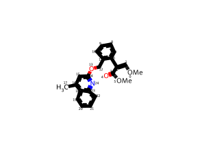 COC=C(C(=O)OC)c1ccccc1COc1cc(C)c2ccccc2n1